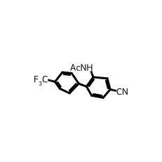 CC(=O)Nc1cc(C#N)ccc1-c1ccc(C(F)(F)F)cc1